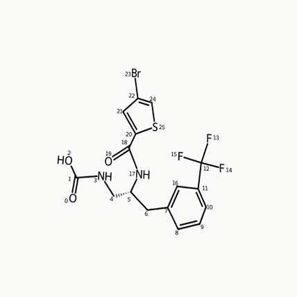 O=C(O)NC[C@@H](Cc1cccc(C(F)(F)F)c1)NC(=O)c1cc(Br)cs1